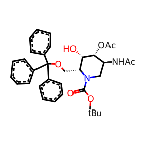 CC(=O)N[C@H]1CN(C(=O)OC(C)(C)C)[C@H](COC(c2ccccc2)(c2ccccc2)c2ccccc2)[C@H](O)[C@@H]1OC(C)=O